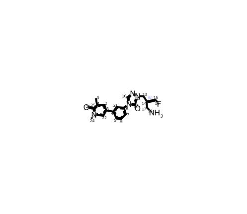 Cc1cc(-c2cccc(-n3cnn(C/C(=C/F)CN)c3=O)c2)cn(C)c1=O